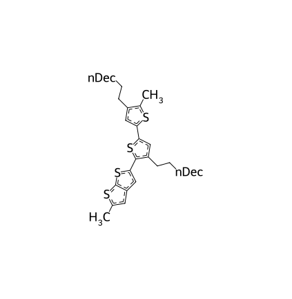 CCCCCCCCCCCCc1cc(-c2cc(CCCCCCCCCCCC)c(-c3cc4cc(C)sc4s3)s2)sc1C